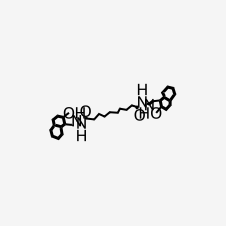 O=C(CCCCCCCCC(=O)NN=Cc1c(O)ccc2ccccc12)NN=Cc1c(O)ccc2ccccc12